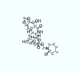 O=C1N[C@@H]2C(C[C@H](O)[C@H]3OP(=O)(OCN4CCCCCC4=O)O[C@H]32)[C@@H]2C=C3OCOC3=C(O)C12